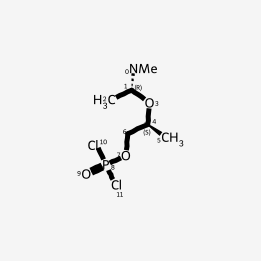 CN[C@@H](C)O[C@@H](C)COP(=O)(Cl)Cl